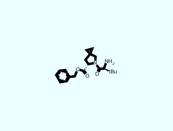 CC(C)(C)[C@H](N)C(=O)N1CC2(CC2)C[C@H]1C(=O)OCc1ccccc1